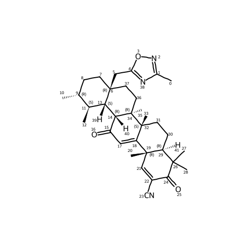 Cc1noc(C[C@]23CC[C@@H](C)[C@H](C)[C@H]2[C@H]2C(=O)C=C4[C@@]5(C)C=C(C#N)C(=O)C(C)(C)[C@@H]5CC[C@@]4(C)[C@]2(C)CC3)n1